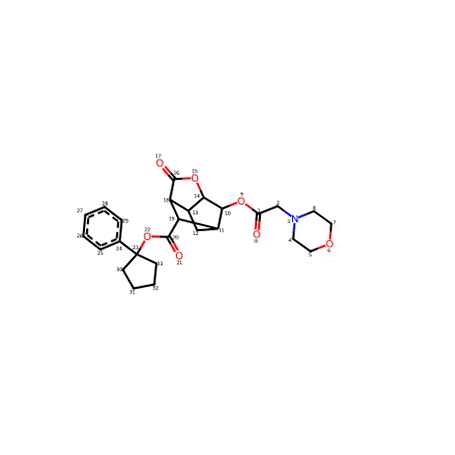 O=C(CN1CCOCC1)OC1C2CC3C1OC(=O)C3C2C(=O)OC1(c2ccccc2)CCCC1